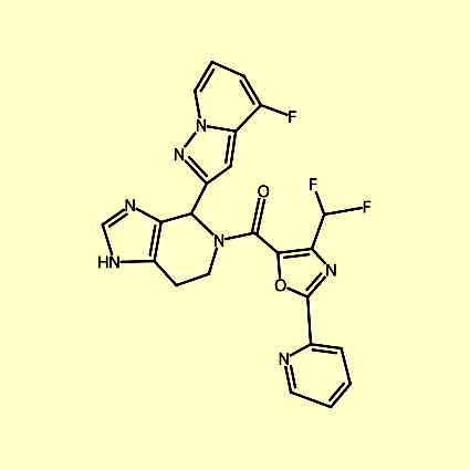 O=C(c1oc(-c2ccccn2)nc1C(F)F)N1CCc2[nH]cnc2C1c1cc2c(F)cccn2n1